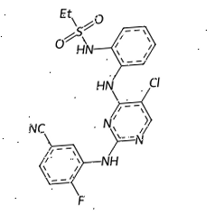 CCS(=O)(=O)Nc1ccccc1Nc1nc(Nc2cc(C#N)ccc2F)ncc1Cl